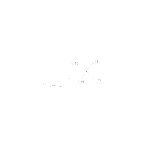 CC(C)(N)N.CCC